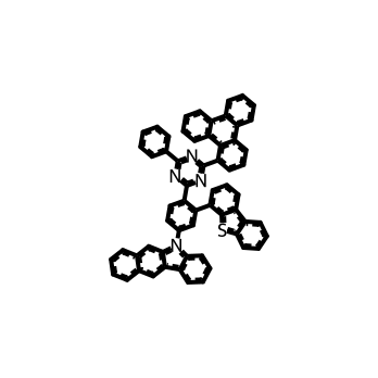 c1ccc(-c2nc(-c3ccc(-n4c5ccccc5c5cc6ccccc6cc54)cc3-c3cccc4c3sc3ccccc34)nc(-c3cccc4c5ccccc5c5ccccc5c34)n2)cc1